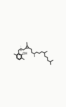 Cc1ccc(C)c(C[C@H](C)CC2C(C)C2CCC(C)CCCC(C)CCCC(C)C)c1O